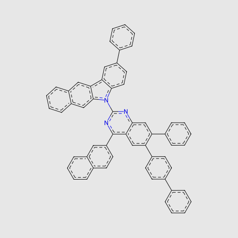 c1ccc(-c2ccc(-c3cc4c(-c5ccc6ccccc6c5)nc(-n5c6ccc(-c7ccccc7)cc6c6cc7ccccc7cc65)nc4cc3-c3ccccc3)cc2)cc1